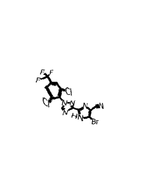 N#Cc1nc(-c2ncn(-c3c(Cl)cc(C(F)(F)F)cc3Cl)n2)[nH]c1Br